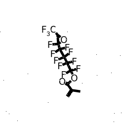 C=C(C)C(=O)OC(F)(F)C(F)(F)C(F)(F)C(F)(F)C1(F)OC1C(F)(F)F